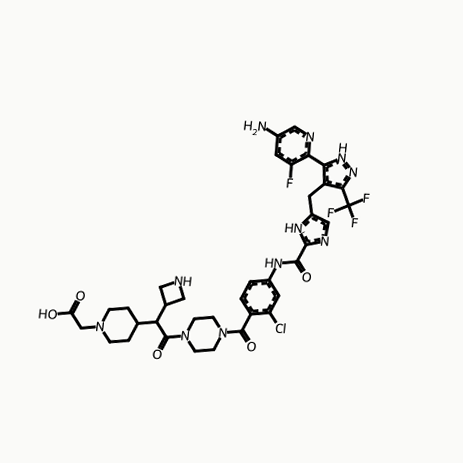 Nc1cnc(-c2[nH]nc(C(F)(F)F)c2Cc2cnc(C(=O)Nc3ccc(C(=O)N4CCN(C(=O)C(C5CCN(CC(=O)O)CC5)C5CNC5)CC4)c(Cl)c3)[nH]2)c(F)c1